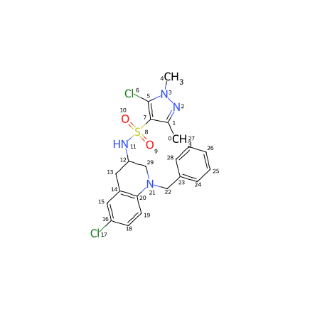 Cc1nn(C)c(Cl)c1S(=O)(=O)NC1Cc2cc(Cl)ccc2N(Cc2ccccc2)C1